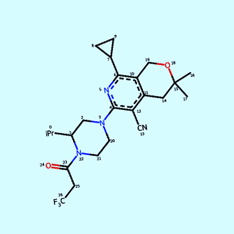 CC(C)C1CN(c2nc(C3CC3)c3c(c2C#N)CC(C)(C)OC3)CCN1C(=O)CC(F)(F)F